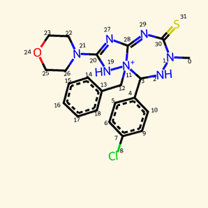 CN1NC(c2ccc(Cl)cc2)[N+]2(Cc3ccccc3)NC(N3CCOCC3)=NC2=NC1=S